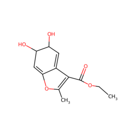 CCOC(=O)c1c(C)oc2c1=CC(O)C(O)C=2